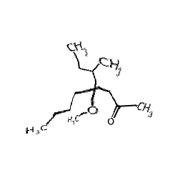 CCCCC(CC(C)=O)(OC)C(C)CC